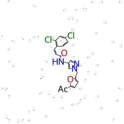 CC(=O)c1ccc(Cn2cc(NC(=O)/C=C\c3ccc(Cl)cc3Cl)cn2)o1